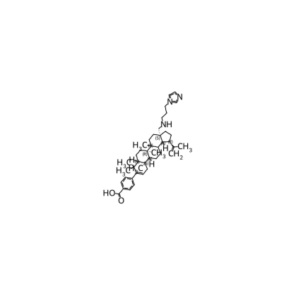 C=C(C)[C@@H]1CC[C@]2(CNCCCn3ccnc3)CC[C@]3(C)C(CC[C@@H]4[C@@]5(C)CC=C(c6ccc(C(=O)O)cc6)C(C)(C)[C@@H]5CC[C@]43C)[C@@H]12